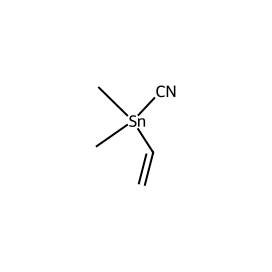 C=[CH][Sn]([CH3])([CH3])[C]#N